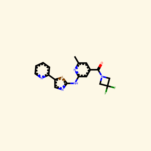 Cc1cc(C(=O)N2CC(F)(F)C2)cc(Nc2ncc(-c3ccccn3)s2)n1